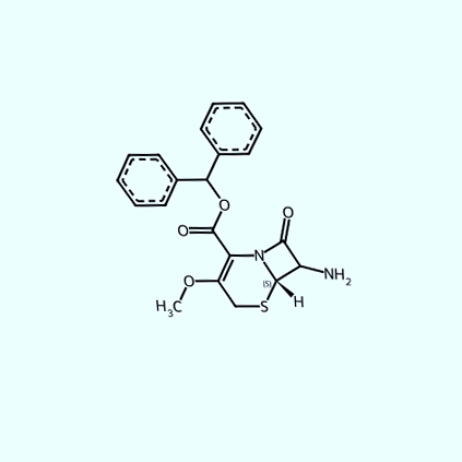 COC1=C(C(=O)OC(c2ccccc2)c2ccccc2)N2C(=O)C(N)[C@@H]2SC1